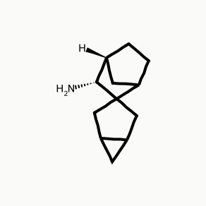 N[C@@H]1[C@@H]2CCC(C2)C12CC1CC1C2